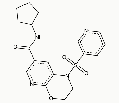 O=C(NC1CCCC1)c1cnc2c(c1)N(S(=O)(=O)c1cccnc1)CCO2